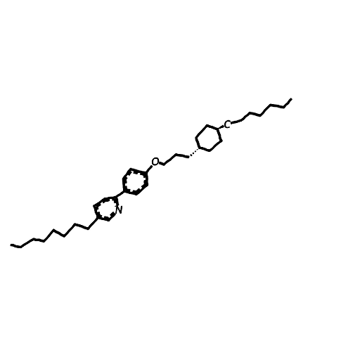 CCCCCCCCc1ccc(-c2ccc(OCCC[C@H]3CC[C@H](CCCCCCC)CC3)cc2)nc1